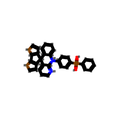 O=S(=O)(c1ccccc1)c1ccc(N2c3ccccc3C3(c4cccnc42)c2ccsc2-c2sccc23)cc1